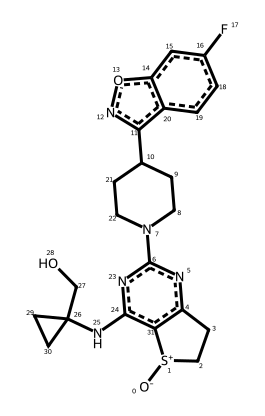 [O-][S+]1CCc2nc(N3CCC(c4noc5cc(F)ccc45)CC3)nc(NC3(CO)CC3)c21